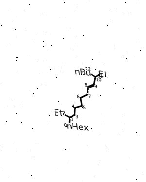 [CH2]CCCCCC(CC)CCCCC/C=C/C(CC)CCC[CH2]